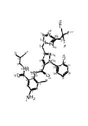 Cc1cc(N)cc(C(=O)NCC(C)C)c1NC(=O)c1cc(Cn2nnc(C(F)(F)F)n2)nn1-c1ccccc1Cl